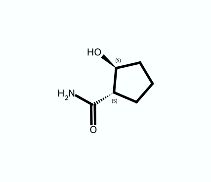 NC(=O)[C@H]1CCC[C@@H]1O